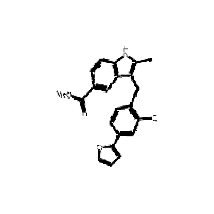 COC(=O)c1ccc2[nH]c(C)c(Cc3ccc(-c4ccco4)cc3Cl)c2c1